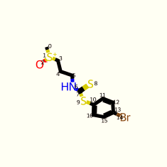 C[S+]([O-])CCCNC(=S)Sc1ccc(Br)cc1